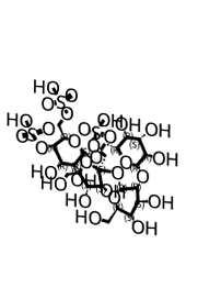 O=S(=O)(O)OC[C@H]1O[C@H](OC[C@H]2O[C@H](O[C@H]3[C@@H](O[C@]4(COS(=O)(=O)O)O[C@H](CO)[C@@H](O)[C@@H]4O)O[C@H](CO)[C@@H](O)[C@@H]3O)[C@H](O)[C@@H](O)[C@H]2O)[C@H](O)[C@@H](O)[C@H]1OS(=O)(=O)O